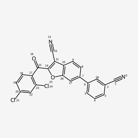 N#Cc1cccc(-c2ccc3c(C#N)c(C(=O)c4ccc(Cl)cc4Cl)oc3c2)c1